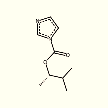 CC(C)[C@H](C)OC(=O)n1ccnc1